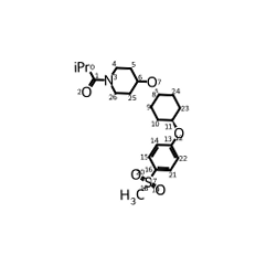 CC(C)C(=O)N1CCC(O[C@H]2CC[C@H](Oc3ccc(S(C)(=O)=O)cc3)CC2)CC1